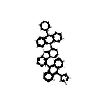 C1=CC2c3c(cccc3-c3c4ccccc4c(-c4ccsc4)c4ccccc34)OC2C(c2c3ccccc3c(-c3ccccc3)c3ccccc23)=C1